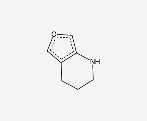 c1occ2c1CCCN2